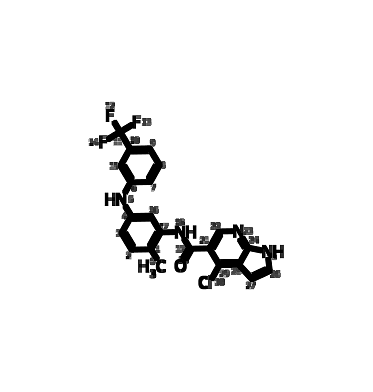 Cc1ccc(Nc2cccc(C(F)(F)F)c2)cc1NC(=O)c1cnc2[nH]ccc2c1Cl